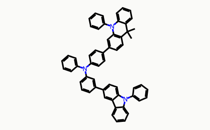 CC1(C)c2ccccc2N(c2ccccc2)c2cc(-c3ccc(N(c4ccccc4)c4cccc(-c5ccc6c(c5)c5ccccc5n6-c5ccccc5)c4)cc3)ccc21